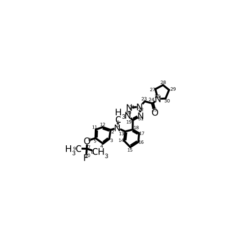 CN(c1ccc(OC(C)(C)F)cc1)c1ccccc1-c1nnn(CC(=O)N2CCCC2)n1